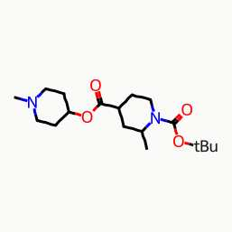 CC1CC(C(=O)OC2CCN(C)CC2)CCN1C(=O)OC(C)(C)C